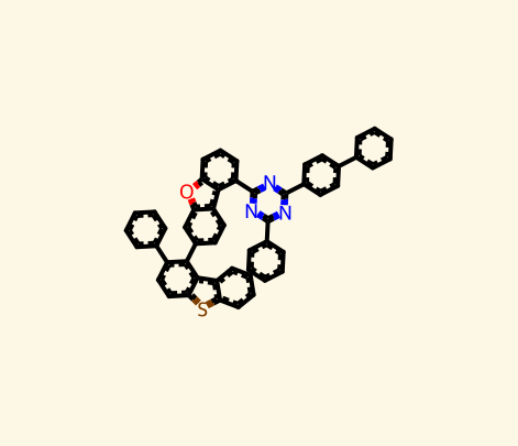 c1ccc(-c2ccc(-c3nc(-c4ccccc4)nc(-c4cccc5oc6cc(-c7c(-c8ccccc8)ccc8sc9ccccc9c78)ccc6c45)n3)cc2)cc1